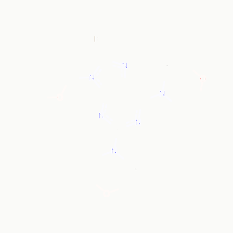 C[C@@H]1COCCN1c1nc(N2CCOC[C@H]2C)c2nc(Br)n(C3CCCCO3)c2n1